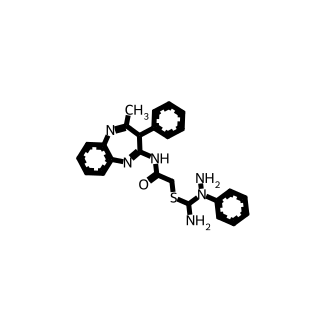 CC1=Nc2ccccc2N=C(NC(=O)CSC(N)N(N)c2ccccc2)C1c1ccccc1